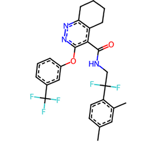 Cc1ccc(C(F)(F)CNC(=O)c2c(Oc3cccc(C(F)(F)F)c3)nnc3c2CCCC3)c(C)c1